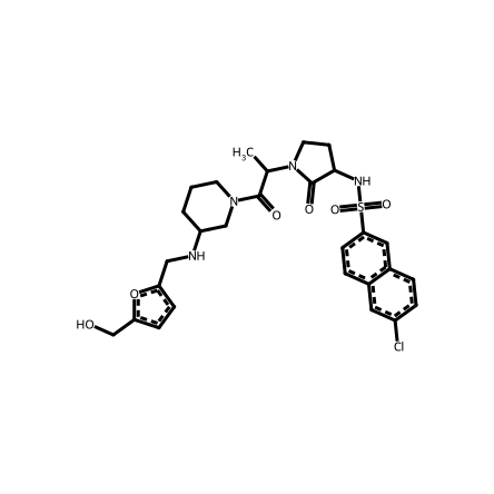 CC(C(=O)N1CCCC(NCc2ccc(CO)o2)C1)N1CCC(NS(=O)(=O)c2ccc3cc(Cl)ccc3c2)C1=O